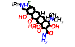 CC(C)NCc1c(F)cc2c(c1O)C(=O)C1=C(O)[C@]3(O)C(=O)C(C(N)=O)=C(O)[C@@H](N(C)C)[C@@H]3C[C@@H]1C2